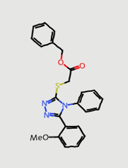 COc1ccccc1-c1nnc(SCC(=O)OCc2ccccc2)n1-c1ccccc1